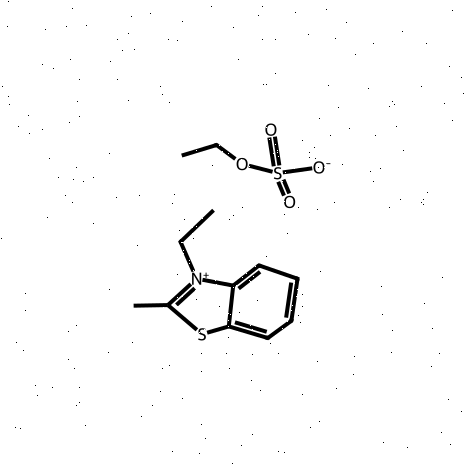 CCOS(=O)(=O)[O-].CC[n+]1c(C)sc2ccccc21